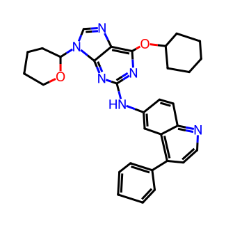 c1ccc(-c2ccnc3ccc(Nc4nc(OC5CCCCC5)c5ncn(C6CCCCO6)c5n4)cc23)cc1